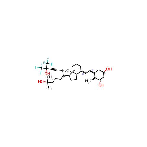 C=C1/C(=C\C=C2/CCC[C@@]3(C)C2CCC3[C@@H](CC#CC(O)(C(F)(F)F)C(F)(F)F)CCCC(C)(C)O)C[C@@H](O)C[C@@H]1O